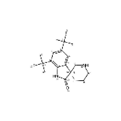 CC(C)(F)c1cc(C(C)(C)F)c2c(c1)[C@]1(CCCNC1)C(=O)N2